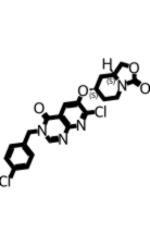 O=C1OC[C@@H]2C[C@@H](Oc3cc4c(=O)n(Cc5ccc(Cl)cc5)cnc4nc3Cl)CCN12